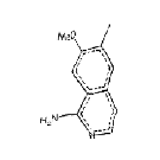 COc1cc2c(N)nccc2cc1C